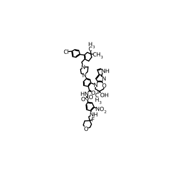 CC1(C)CCC(CN2CCN(c3ccc(C(=O)NS(=O)(=O)c4ccc(NCC5(F)CCOCC5)c([N+](=O)[O-])c4)c(N4C[C@](C)(O)COc5nc6[nH]ccc6cc54)c3)CC2)=C(c2ccc(Cl)cc2)C1